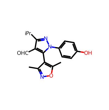 Cc1noc(C)c1-c1c(C=O)c(C(C)C)nn1-c1ccc(O)cc1